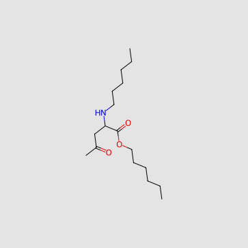 CCCCCCNC(CC(C)=O)C(=O)OCCCCCC